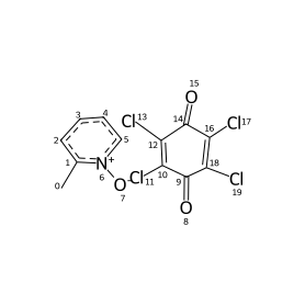 Cc1cccc[n+]1[O-].O=C1C(Cl)=C(Cl)C(=O)C(Cl)=C1Cl